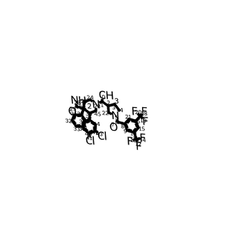 CC(C1CCN(C(=O)c2cc(C(F)(F)F)cc(C(F)(F)F)c2)C1)N1CCC(C(N)=O)(c2ccccc2)C(c2ccc(Cl)c(Cl)c2)C1